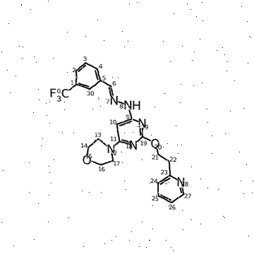 FC(F)(F)c1cccc(C=NNc2cc(N3CCOCC3)nc(OCCc3ccccn3)n2)c1